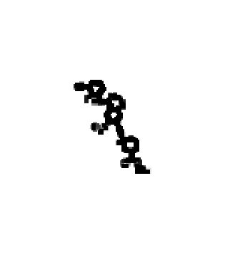 CC1(C#Cc2cc3ncnc(Nc4cccc(Cl)c4F)c3cc2[N+](=O)[O-])CCCN(C(=O)OC(C)(C)C)C1